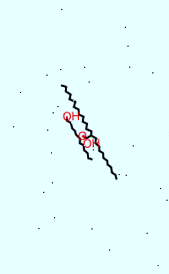 CCCCCCCCCCCCCCC(CCCCCCCCCCCC)C(=O)O.CCCCCCCCCCCCO